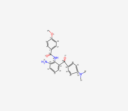 COc1ccc(C(=O)Nc2c(N)cccc2C(=O)c2ccc(N(C)C)cc2)cc1